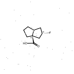 O=C(O)[C@@]12CCCN1C[C@H](F)C2